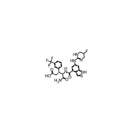 NC(=O)C(NC(=O)c1cc(NC2=NCC(F)CN2)cc2[nH]ncc12)[C@@H](CC(=O)O)c1cccc(C(F)(F)F)c1